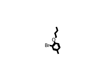 CCCCOc1ccc(C)cc1Br